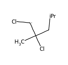 CC(C)CC(C)(Cl)[CH]Cl